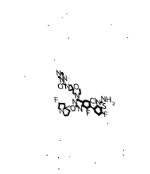 Nc1nc2c(-c3c(Cl)cc4c(N5CCOC6(CN(C(=O)n7cncn7)C6)C5)nc(OC[C@@]56CCCN5C[C@H](F)C6)nc4c3F)ccc(F)c2s1